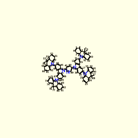 CC1(C)c2ccccc2N(c2ccc3c(c2)c2cc(N4c5ccccc5C(C)(C)c5ccccc54)ccc2n3-c2ccc(-n3c4ccc(N5c6ccccc6C(C)(C)c6ccccc65)cc4c4cc(N5c6ccccc6C(C)(C)c6ccccc65)ccc43)nc2)c2ccccc21